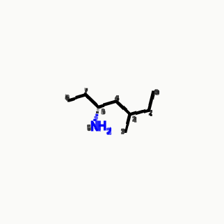 CCC(C)C[C@H](N)CC